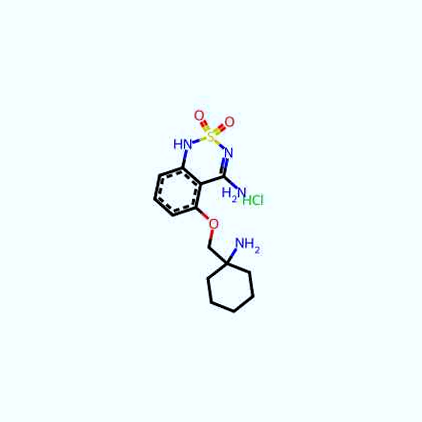 Cl.NC1=NS(=O)(=O)Nc2cccc(OCC3(N)CCCCC3)c21